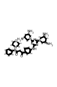 N[C@@H]1C[C@H](N)CN(c2nc(Nc3ccc(C(=O)CC(=O)N(c4ccccc4)N4CCOCC4)cc3)nc(N3C[C@H](N)C[C@H](N)C3)n2)C1